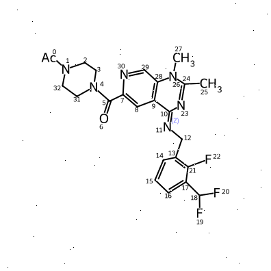 CC(=O)N1CCN(C(=O)c2cc3/c(=N/Cc4cccc(C(F)F)c4F)nc(C)n(C)c3cn2)CC1